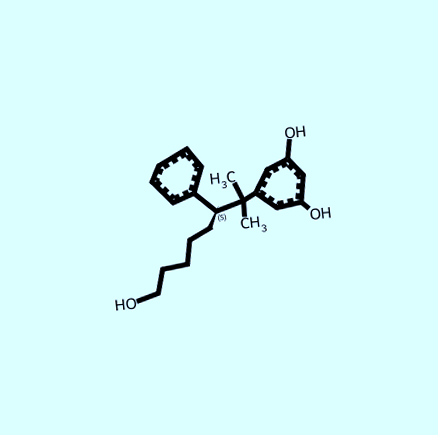 CC(C)(c1cc(O)cc(O)c1)[C@@H](CCCCCO)c1ccccc1